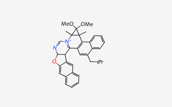 COC1(OC)C2(C)c3c(cc(CC(C)C)c4ccccc34)C3=[N+](C=NC4Oc5cc6ccccc6cc5C34)C12C